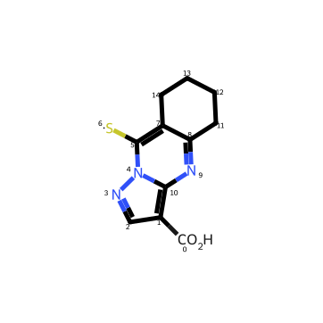 O=C(O)c1cnn2c([S])c3c(nc12)CCCC3